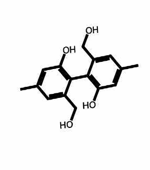 Cc1cc(O)c(-c2c(O)cc(C)cc2CO)c(CO)c1